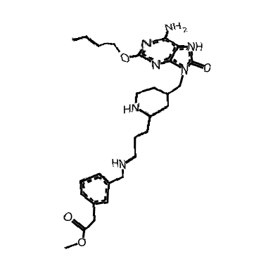 CCCCOc1nc(N)c2[nH]c(=O)n(CC3CCNC(CCCNCc4cccc(CC(=O)OC)c4)C3)c2n1